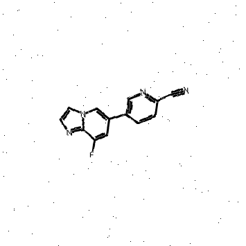 N#Cc1ccc(-c2cc(F)c3nccn3c2)cn1